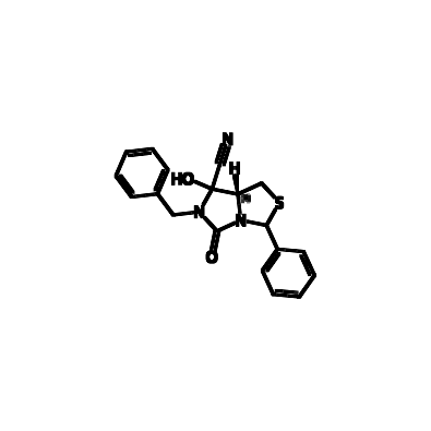 N#CC1(O)[C@@H]2CSC(c3ccccc3)N2C(=O)N1Cc1ccccc1